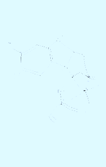 C=CC(=O)NC1(C(F)(F)F)C(=O)Nc2nc3cc(C)c(C)cc3n21